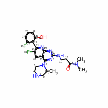 CC1CNCCN1c1nc(NCCC(=O)N(C)C)nc2nc(-c3c(O)cccc3F)c(F)cc12